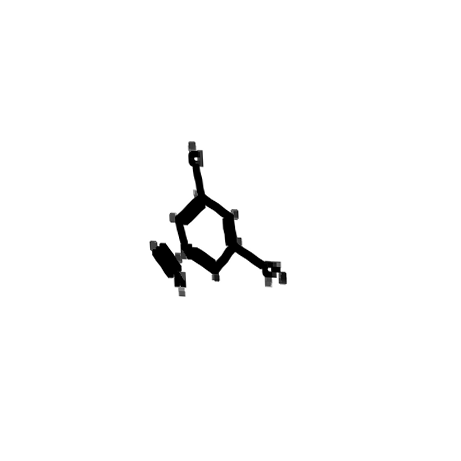 C#N.FC(F)(F)c1cncc(Cl)c1